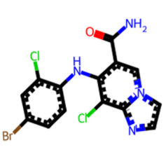 NC(=O)c1cn2ccnc2c(Cl)c1Nc1ccc(Br)cc1Cl